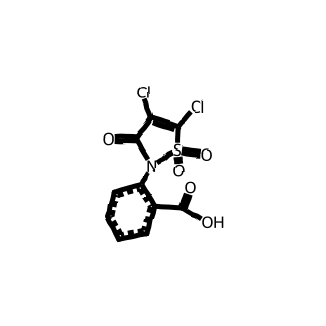 O=C(O)c1ccccc1N1C(=O)C(Cl)=C(Cl)S1(=O)=O